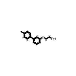 Cc1ccc(-c2cccc(OCCO)c2)cc1